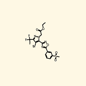 CCOC(=O)Cn1nc(C(F)(F)F)c(Br)c1-c1noc(-c2cccc(S(C)(=O)=O)c2)n1